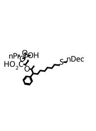 CCCCCCCCCCCSCCCCCCCC(c1ccccc1)C(C)OC(CP(=O)(O)OCCC)C(=O)O